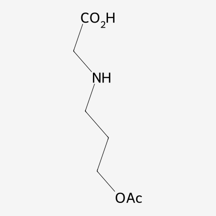 CC(=O)OCCCNCC(=O)O